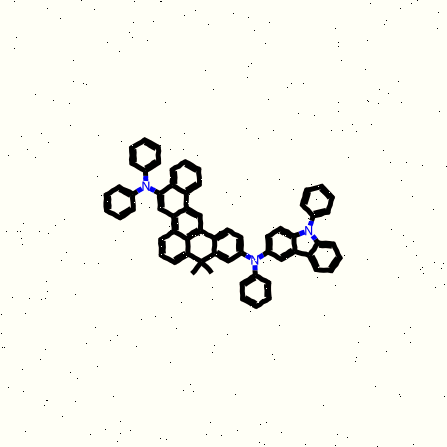 CC1(C)c2cc(N(c3ccccc3)c3ccc4c(c3)c3ccccc3n4-c3ccccc3)ccc2-c2cc3c4ccccc4c(N(c4ccccc4)c4ccccc4)cc3c3cccc1c23